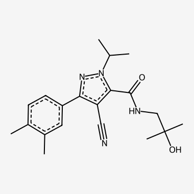 Cc1ccc(-c2nn(C(C)C)c(C(=O)NCC(C)(C)O)c2C#N)cc1C